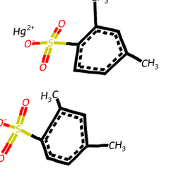 Cc1ccc(S(=O)(=O)[O-])c(C)c1.Cc1ccc(S(=O)(=O)[O-])c(C)c1.[Hg+2]